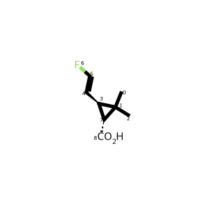 CC1(C)[C@H](/C=C/F)[C@H]1C(=O)O